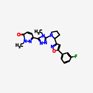 Cn1c(-c2ccc(=O)n(C)n2)nnc1N1CCCC1c1cc(-c2cccc(F)c2)on1